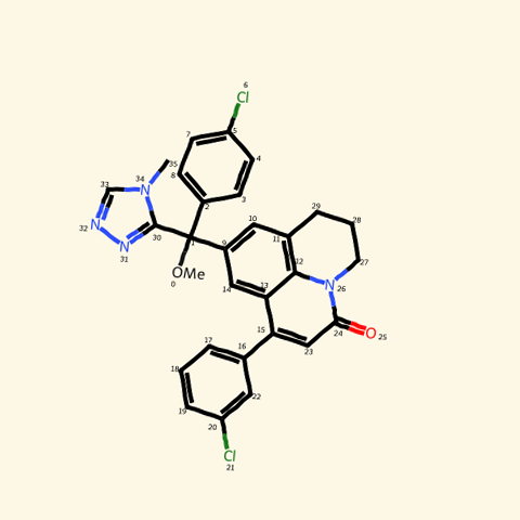 COC(c1ccc(Cl)cc1)(c1cc2c3c(c1)c(-c1cccc(Cl)c1)cc(=O)n3CCC2)c1nncn1C